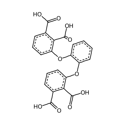 O=C(O)c1cccc(Oc2ccccc2Oc2cccc(C(=O)O)c2C(=O)O)c1C(=O)O